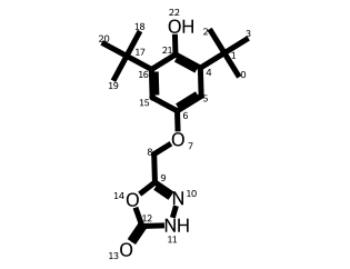 CC(C)(C)c1cc(OCc2n[nH]c(=O)o2)cc(C(C)(C)C)c1O